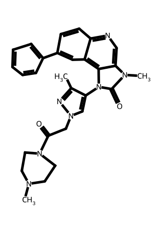 Cc1nn(CC(=O)N2CCN(C)CC2)cc1-n1c(=O)n(C)c2cnc3ccc(-c4ccccc4)cc3c21